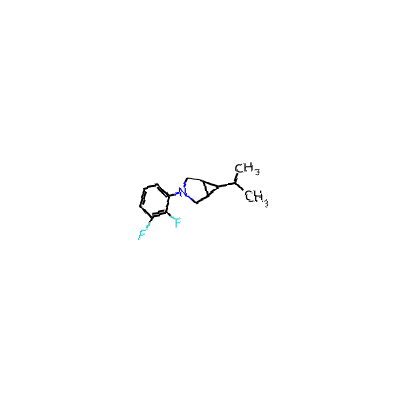 CC(C)C1C2CN(c3cccc(F)c3F)CC21